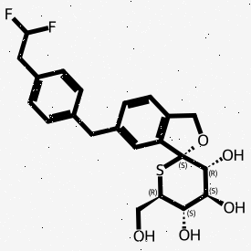 OC[C@H]1S[C@]2(OCc3ccc(Cc4ccc(CC(F)F)cc4)cc32)[C@H](O)[C@@H](O)[C@@H]1O